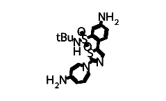 CC(C)(C)NS(=O)(=O)c1cc(N)ccc1-c1cnc(N2C=CC=C(N)C=C2)s1